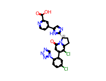 O=C(O)c1cc(-c2cnc([C@@H]3CCc4c(Cl)c(-c5cc(Cl)ccc5-n5cnnn5)cc(=O)n43)[nH]2)ccn1